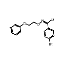 CCC(=NOCCOc1c[c]ccc1)c1ccc(CC)cc1